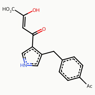 CC(=O)c1ccc(Cc2c[nH]cc2C(=O)C=C(O)C(=O)O)cc1